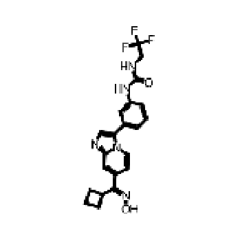 O=C(NCC(F)(F)F)Nc1cccc(-c2cnc3cc(C(=NO)C4CCC4)ccn23)c1